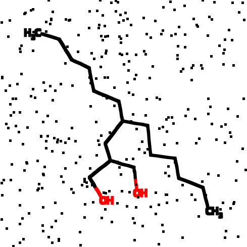 CCCCCCC(CCCCCC)CC(CO)CO